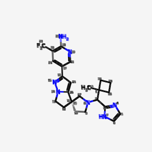 CC1(C(c2ncc[nH]2)N2CC[C@@]3(CCn4nc(-c5cnc(N)c(C(F)(F)F)c5)cc43)C2)CCC1